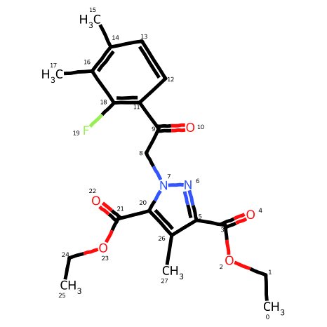 CCOC(=O)c1nn(CC(=O)c2ccc(C)c(C)c2F)c(C(=O)OCC)c1C